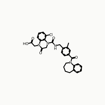 Cc1cc(C(=O)N2CCCCc3ccccc32)ccc1CNC(=O)N1CC(=O)N(CC(=O)O)c2cccc(Cl)c21